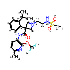 Cc1ccc(NC(=O)C2(c3ccccc3C(C)C)CN(CCNS(C)(=O)=O)C2)c(OC(F)F)n1